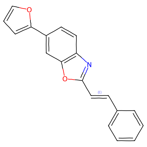 C(=C\c1nc2ccc(-c3ccco3)cc2o1)/c1ccccc1